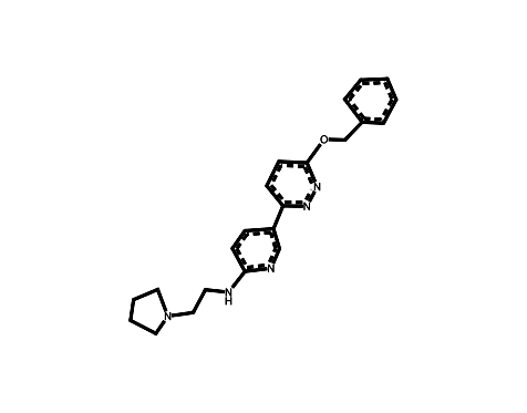 c1ccc(COc2ccc(-c3ccc(NCCN4CCCC4)nc3)nn2)cc1